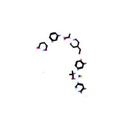 CCc1cc(N2C(=S)N(c3cnc(C#N)c(C(F)(F)F)c3)C(=O)C2(C)C)ccc1OCCC1CCN(C(C)C(=O)Nc2cccc(N[C@H]3CCC(=O)NC3=O)c2)CC1.Cl